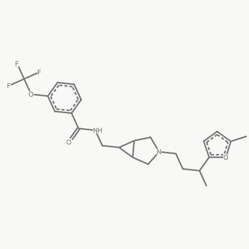 Cc1ccc(C(C)CCN2CC3C(CNC(=O)c4cccc(OC(F)(F)F)c4)C3C2)o1